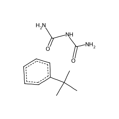 CC(C)(C)c1ccccc1.NC(=O)NC(N)=O